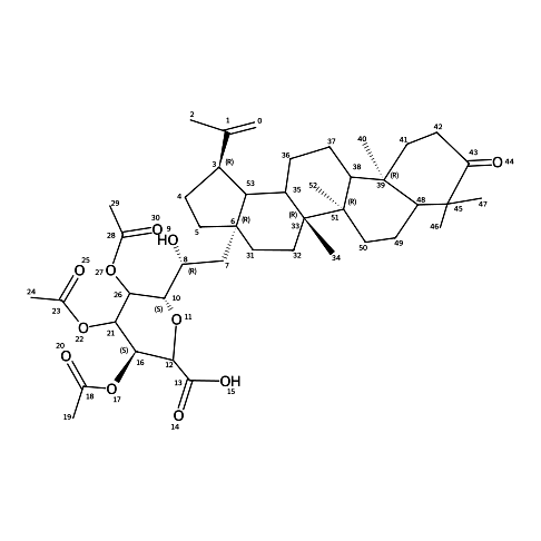 C=C(C)[C@@H]1CC[C@]2(C[C@@H](O)[C@@H]3OC(C(=O)O)[C@@H](OC(C)=O)C(OC(C)=O)C3OC(C)=O)CC[C@]3(C)C(CCC4[C@@]5(C)CCC(=O)C(C)(C)C5CC[C@]43C)C12